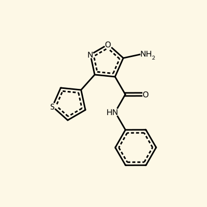 Nc1onc(-c2ccsc2)c1C(=O)Nc1ccccc1